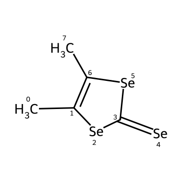 Cc1[se]c(=[Se])[se]c1C